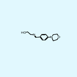 OCC/N=C/c1ccc(N2CCOCC2)cc1